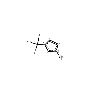 C[n+]1ccn(C(F)(F)F)c1